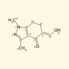 Cc1nn(C)c2c1C(=O)/C(=C/O)CC2